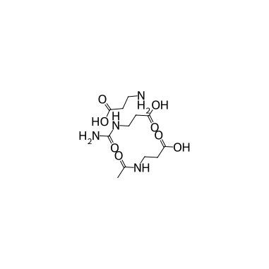 CC(=O)NCCC(=O)O.NC(=O)NCCC(=O)O.NCCC(=O)O